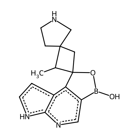 CC1C2(CCNC2)CC12OB(O)c1cnc3[nH]ccc3c12